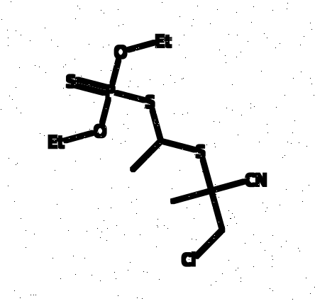 CCOP(=S)(OCC)SC(C)SC(C)(C#N)CCl